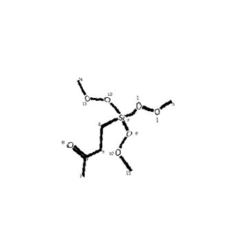 COO[Si](CCC(C)=O)(OOC)OOC